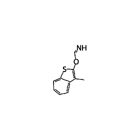 Cc1c(OC=N)sc2ccccc12